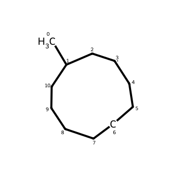 CC1C[CH]CCCCCCC1